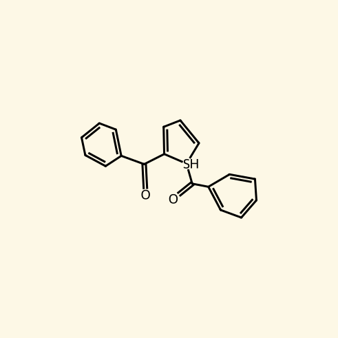 O=C(C1=CC=C[SH]1C(=O)c1ccccc1)c1ccccc1